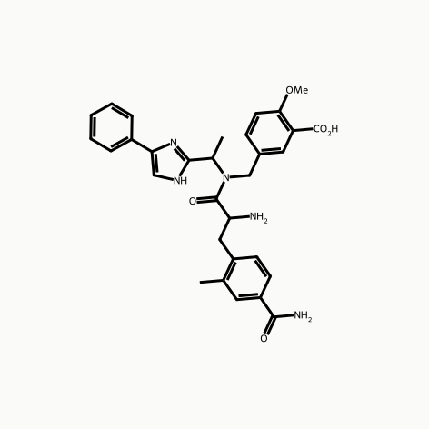 COc1ccc(CN(C(=O)C(N)Cc2ccc(C(N)=O)cc2C)C(C)c2nc(-c3ccccc3)c[nH]2)cc1C(=O)O